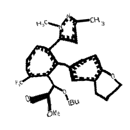 COC(=O)C(OC(C)(C)C)c1c(C(F)(F)F)ccc(-c2cc(C)nn2C)c1-c1ccc2c(c1)CCCO2